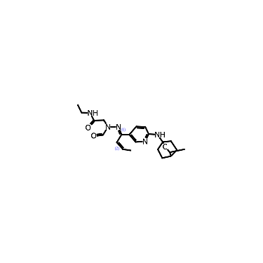 C/C=C\C(=N/N(C=O)CC(=O)NCC)c1ccc(NC23CCC(CC2)C(C)C3)nc1